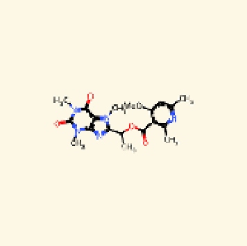 COc1cc(C)nc(C)c1C(=O)OC(C)c1nc2c(c(=O)n(C)c(=O)n2C)n1C